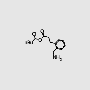 CCCCC(Cl)OC(=O)CCc1ccccc1CN